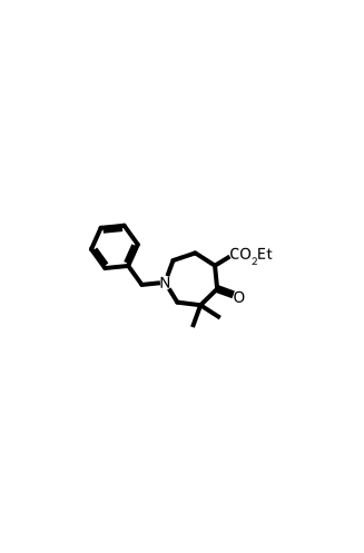 CCOC(=O)C1CCN(Cc2ccccc2)CC(C)(C)C1=O